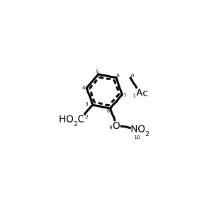 CC(C)=O.O=C(O)c1ccccc1O[N+](=O)[O-]